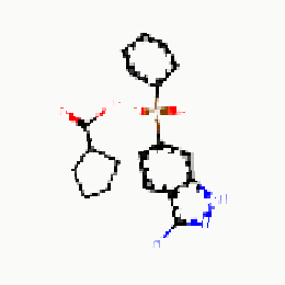 Nc1n[nH]c2cc(S(=O)(=O)c3ccccc3)ccc12.O=C(O)C1CCCC1